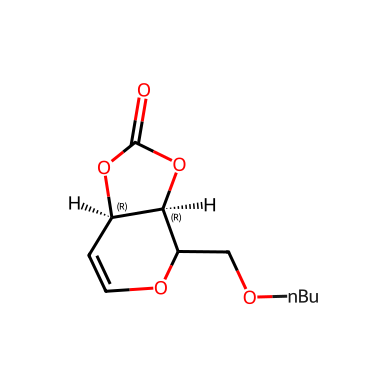 CCCCOCC1OC=C[C@H]2OC(=O)O[C@@H]12